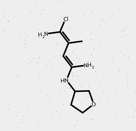 CC(/C=C(\N)NC1CCOC1)=C(/N)Cl